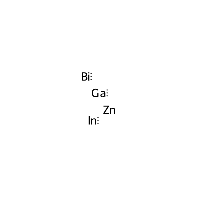 [Bi].[Ga].[In].[Zn]